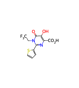 O=C(O)c1nc(-c2cccs2)n(CC(F)(F)F)c(=O)c1O